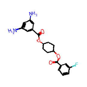 Nc1cc(N)cc(C(=O)OC2CCC(OC(=O)c3cccc(F)c3)CC2)c1